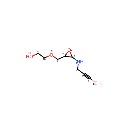 BC#CCNC1OC1COCCO